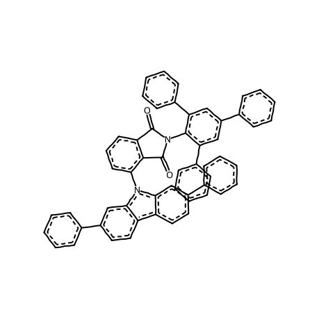 O=C1c2cccc(-n3c4cc(-c5ccccc5)ccc4c4ccc(-c5ccccc5)cc43)c2C(=O)N1c1c(-c2ccccc2)cc(-c2ccccc2)cc1-c1ccccc1